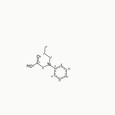 CCCN(CC(=O)O)c1ccccc1